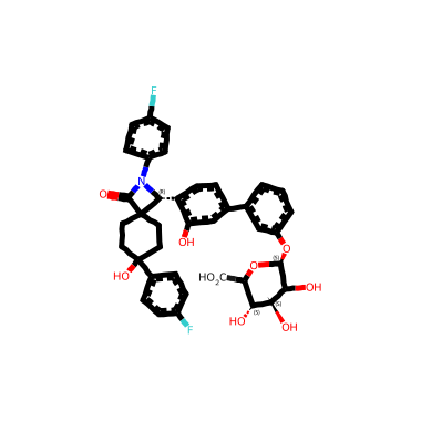 O=C(O)C1O[C@@H](Oc2cccc(-c3ccc([C@H]4N(c5ccc(F)cc5)C(=O)C45CCC(O)(c4ccc(F)cc4)CC5)c(O)c3)c2)C(O)[C@@H](O)[C@@H]1O